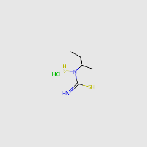 CCC(C)N(S)C(=N)S.Cl